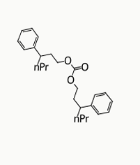 CCCC(CCOC(=O)OCCC(CCC)c1ccccc1)c1ccccc1